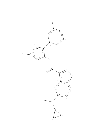 CN(c1ccn2ncc(C(=O)Nc3cn(C)nc3-c3cccc(Cl)c3)c2n1)C1CC1